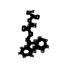 CCC(=O)ONC(=O)OCC1c2ccccc2-c2ccccc21